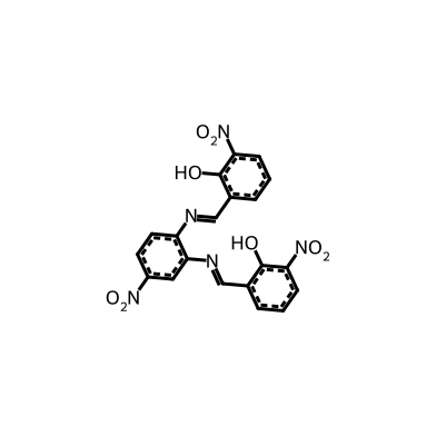 O=[N+]([O-])c1ccc(N=Cc2cccc([N+](=O)[O-])c2O)c(N=Cc2cccc([N+](=O)[O-])c2O)c1